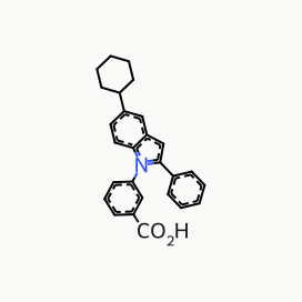 O=C(O)c1cccc(-n2c(-c3ccccc3)cc3cc(C4CCCCC4)ccc32)c1